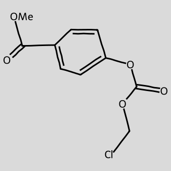 COC(=O)c1ccc(OC(=O)OCCl)cc1